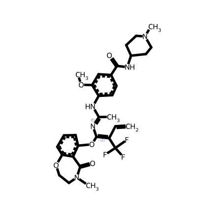 C=C/C(=C(\N=C(/C)Nc1ccc(C(=O)NC2CCN(C)CC2)cc1OC)Oc1cccc2c1C(=O)N(C)CCO2)C(F)(F)F